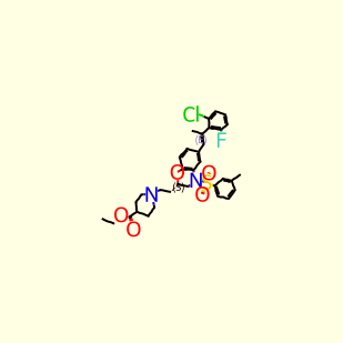 CCOC(=O)C1CCN(CC[C@H]2CN(S(=O)(=O)c3cccc(C)c3)c3cc(/C=C(\C)c4c(F)cccc4Cl)ccc3O2)CC1